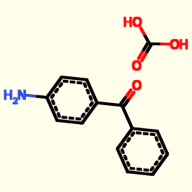 Nc1ccc(C(=O)c2ccccc2)cc1.O=C(O)O